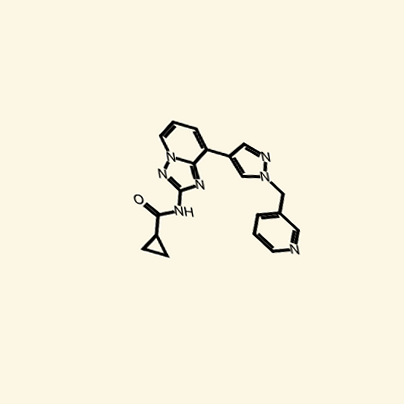 O=C(Nc1nc2c(-c3cnn(Cc4cccnc4)c3)cccn2n1)C1CC1